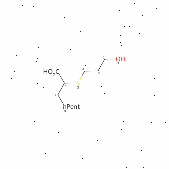 CCCCCCC(SCCCO)C(=O)O